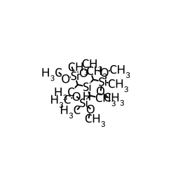 CO[Si](C)(OC)C(C)[SiH](C(C)[Si](C)(OC)OC)C(C)[Si](C)(OC)OC